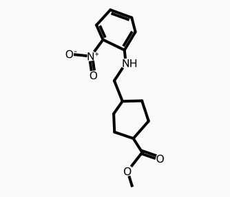 COC(=O)C1CCC(CNc2ccccc2[N+](=O)[O-])CC1